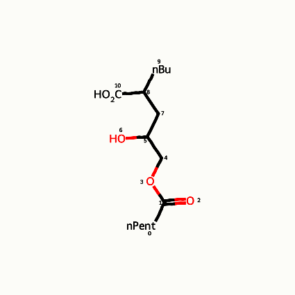 CCCCCC(=O)OCC(O)CC(CCCC)C(=O)O